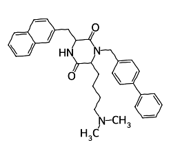 CN(C)CCCCC1C(=O)NC(Cc2ccc3ccccc3c2)C(=O)N1Cc1ccc(-c2ccccc2)cc1